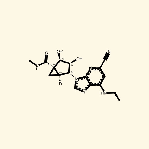 CCNc1cc(C#N)nc2c1ncn2[C@H]1[C@H](O)[C@H](O)[C@]2(C(=O)NC)C[C@H]12